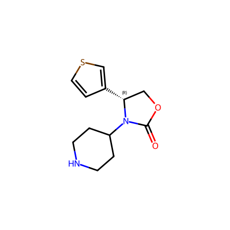 O=C1OC[C@@H](c2ccsc2)N1C1CCNCC1